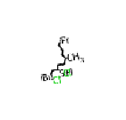 CCC(C)CC(CCC(C)CCCC(C)C)[SiH](Cl)Cl